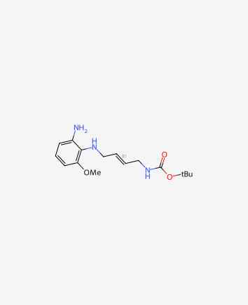 COc1cccc(N)c1NC/C=C/CNC(=O)OC(C)(C)C